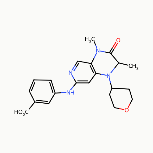 CC1C(=O)N(C)c2cnc(Nc3cccc(C(=O)O)c3)cc2N1C1CCOCC1